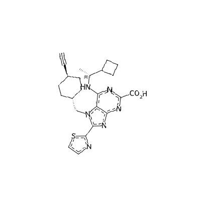 C#C[C@H]1CC[C@H](Cn2c(-c3nccs3)nc3nc(C(=O)O)nc(N[C@H](C)C4CCC4)c32)CC1